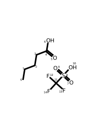 CCCCC(=O)O.O=S(=O)(O)C(F)(F)F